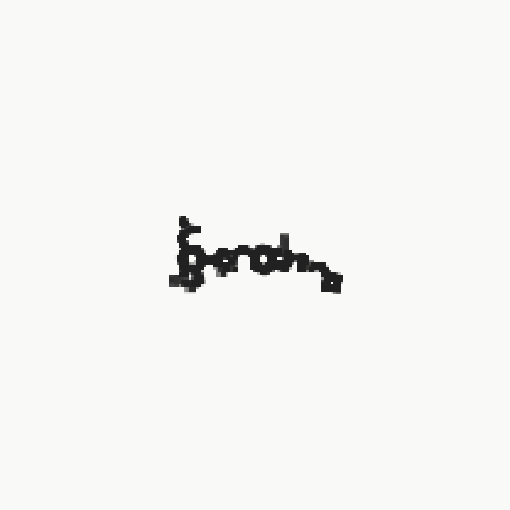 CN(C)Cc1cc(-c2cn(Cc3ccc4cc(CNCC5CCC5)[nH]c4c3)nn2)c2cn[nH]c2c1